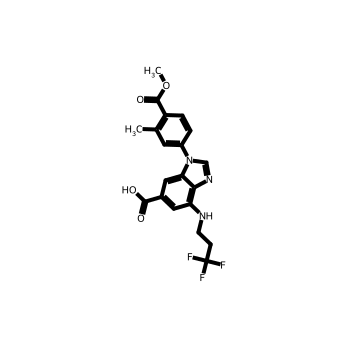 COC(=O)c1ccc(-n2cnc3c(NCCC(F)(F)F)cc(C(=O)O)cc32)cc1C